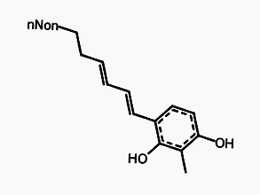 CCCCCCCCCCCC=CC=Cc1ccc(O)c(C)c1O